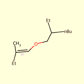 CCCCC(CC)CO/C=C(\C)CC